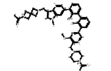 COc1nc(-c2cccc(-c3cccc(-c4cnc5c(CN6CC7(C6)CN(C(C)=O)C7)cn(C)c5c4)c3Cl)c2Cl)cnc1CN1CCN(C(C)=O)CC1